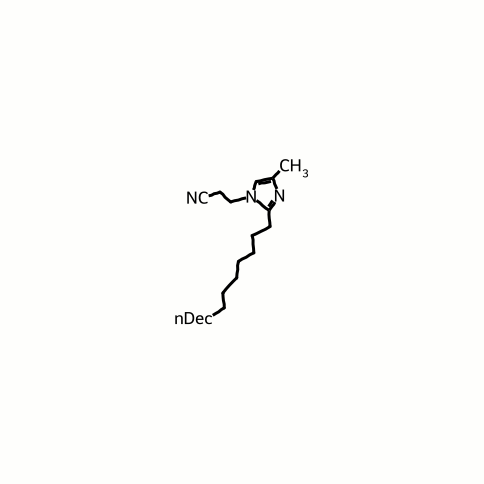 CCCCCCCCCCCCCCCCCc1nc(C)cn1CCC#N